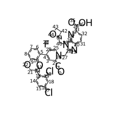 O=C=C1C=C(c2cccc3c2O[C@@H](c2ccc(Cl)cc2Cl)CO3)C(F)=CN1Cc1nc2ccc(C(=O)O)nc2n1C[C@@H]1CCO1